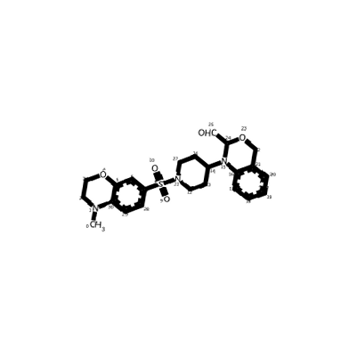 CN1CCOc2cc(S(=O)(=O)N3CCC(N4c5ccccc5COC4C=O)CC3)ccc21